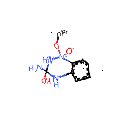 CCCO[N+]1([O-])NC(N)(O)Nc2ccccc21